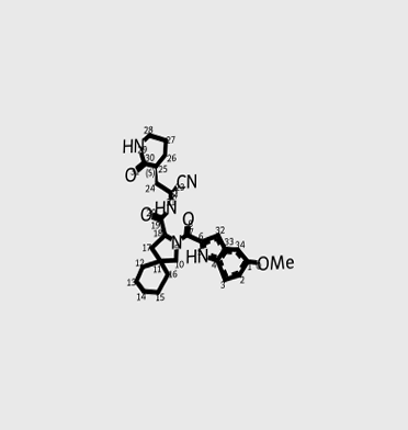 COc1ccc2[nH]c(C(=O)N3CC4(CCCCC4)CC3C(=O)N[C@H](C#N)C[C@@H]3CCCNC3=O)cc2c1